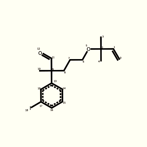 C=CC(C)(C)OCCCC(C)(C=O)c1cccc(I)c1